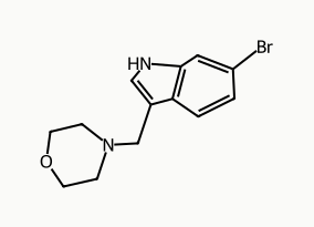 Brc1ccc2c(CN3CCOCC3)c[nH]c2c1